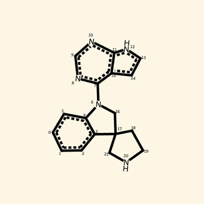 c1ccc2c(c1)N(c1ncnc3[nH]ccc13)CC21CCNC1